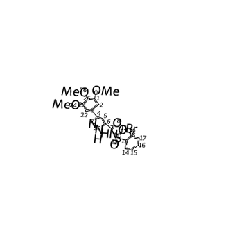 COc1cc(-c2cc(C(=O)NS(=O)(=O)c3ccccc3Br)[nH]n2)cc(OC)c1OC